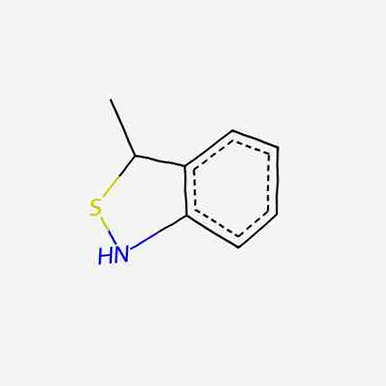 CC1SNc2ccccc21